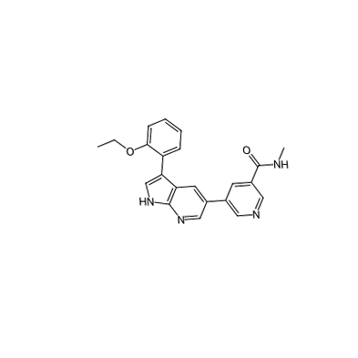 CCOc1ccccc1-c1c[nH]c2ncc(-c3cncc(C(=O)NC)c3)cc12